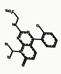 CCOC(=O)CNc1nc(-c2ccccc2Cl)c2ccc(=O)n(C(CC)CC)c2n1